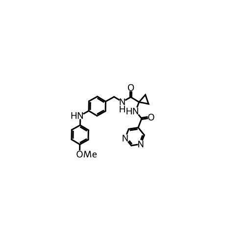 COc1ccc(Nc2ccc(CNC(=O)C3(NC(=O)c4cncnc4)CC3)cc2)cc1